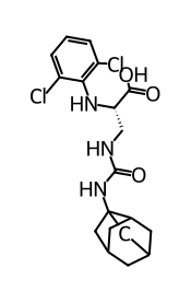 O=C(NC[C@H](Nc1c(Cl)cccc1Cl)C(=O)O)NC12CC3CC(CC1C3)C2